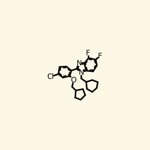 Fc1ccc2c(nc(-c3ccc(Cl)cc3OCC3CCCC3)n2CC2CCCCC2)c1F